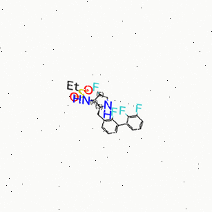 CCS(=O)(=O)N[C@@H]1[C@H](Cc2cccc(-c3cccc(F)c3F)c2F)NC[C@@H]1F